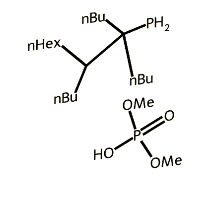 CCCCCCC(CCCC)C(P)(CCCC)CCCC.COP(=O)(O)OC